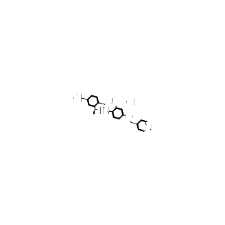 O=C(Nc1ccc(OCc2ccncc2)cc1C(=O)O)c1ccc(Cl)cc1Cl